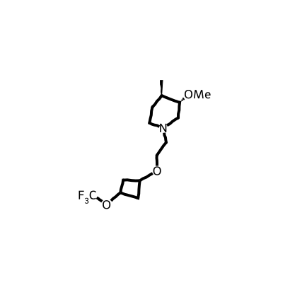 CO[C@@H]1CN(CCOC2CC(OC(F)(F)F)C2)CC[C@H]1C